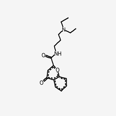 CCN(CC)CCCNC(=O)c1cc(=O)c2ccccc2o1